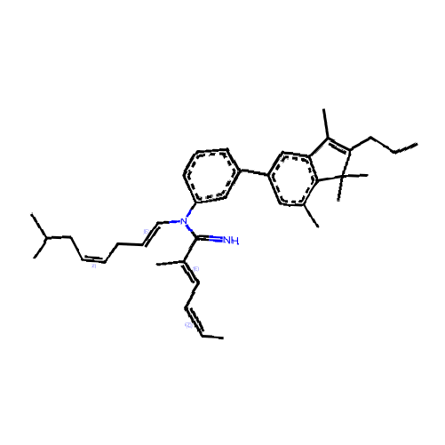 C/C=C\C=C(/C)C(=N)N(/C=C/C/C=C\CC(C)C)c1cccc(-c2cc(C)c3c(c2)C(C)=C(CCC)C3(C)C)c1